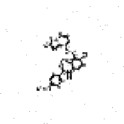 COc1ccc(C(=O)Nc2ccc(Cl)c(COc3cccn4cc(C)nc34)c2Cl)cc1